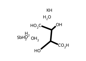 O.O.O.O=C(O)C(O)C(O)C(=O)O.[KH].[SbH3]